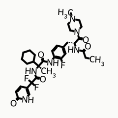 CCC(=O)N[C@H](Cc1ccc(NC(=O)[C@](C)(NC(=O)C(F)(F)c2ccc(=O)[nH]c2)C2CCCCC2)c(F)c1)C(=O)N1CCN(C)CC1